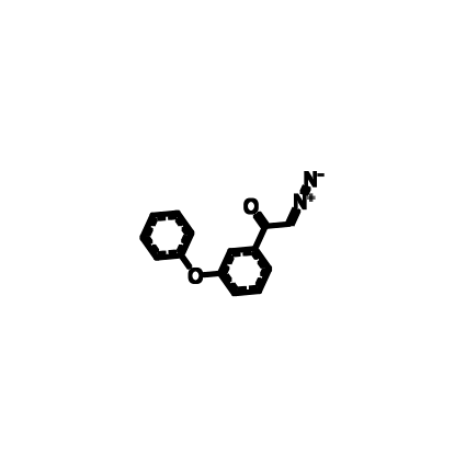 [N-]=[N+]=CC(=O)c1cccc(Oc2ccccc2)c1